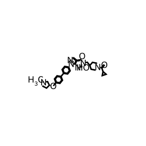 CN1CC[C@@H](Oc2ccc(-c3ccc(-n4ncc5c(=O)n(CC6(O)CCN(C(=O)C7CC7)CC6)cnc54)cc3)cc2)C1